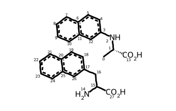 C[C@H](Nc1ccc2ccccc2c1)C(=O)O.NC(Cc1ccc2ccccc2c1)C(=O)O